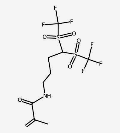 C=C(C)C(=O)NCCCC(S(=O)(=O)C(F)(F)F)S(=O)(=O)C(F)(F)F